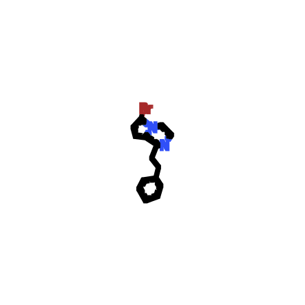 Brc1ccc2c(CCc3ccccc3)nccn12